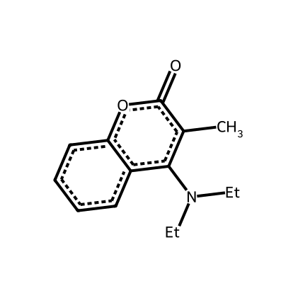 CCN(CC)c1c(C)c(=O)oc2ccccc12